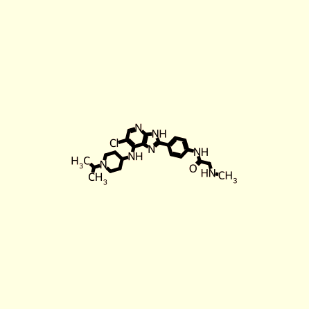 CNCC(=O)Nc1ccc(-c2nc3c(NC4CCN(C(C)C)CC4)c(Cl)cnc3[nH]2)cc1